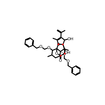 C=C(C)C1=C(C)C23OC(O)C2(C1O)C1(C)CC(=O)OC32C(OCOCc3ccccc3)C(C)CC[C@]12OCOCc1ccccc1